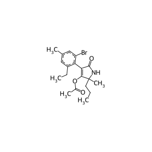 CCCC1(C)NC(=O)C(c2c(Br)cc(C)cc2CC)=C1OC(C)=O